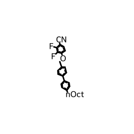 CCCCCCCCc1ccc(-c2ccc(COc3ccc(C#N)c(F)c3F)cc2)cc1